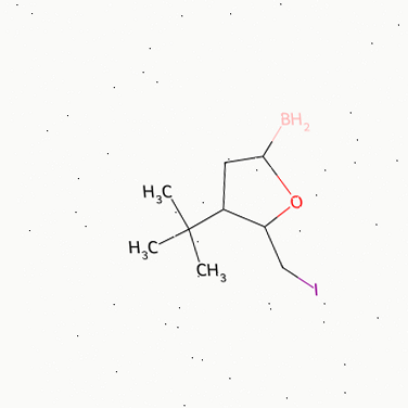 BC1CC(C(C)(C)C)C(CI)O1